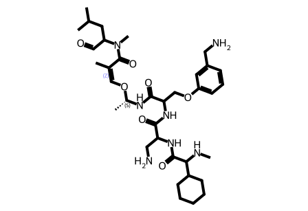 CNC(C(=O)NC(CN)C(=O)NC(COc1cccc(CN)c1)C(=O)N[C@H](C)O/C=C(/C)C(=O)N(C)C(C=O)CC(C)C)C1CCCCC1